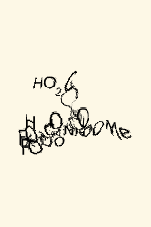 COc1ccc2c(c1)O[C@H]([C@H]1CC[C@H](C(=O)O)CC1)C[C@@H]2NC(=O)[C@@]1(C)COc2cc3c(cc21)OC(F)(F)O3